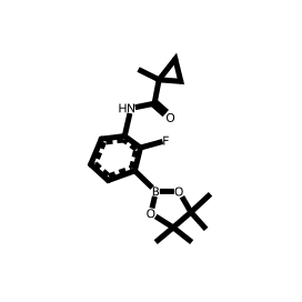 CC1(C(=O)Nc2cccc(B3OC(C)(C)C(C)(C)O3)c2F)CC1